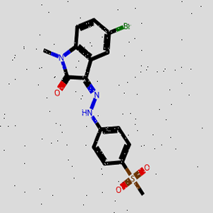 CN1C(=O)/C(=N\Nc2ccc(S(C)(=O)=O)cc2)c2cc(Br)ccc21